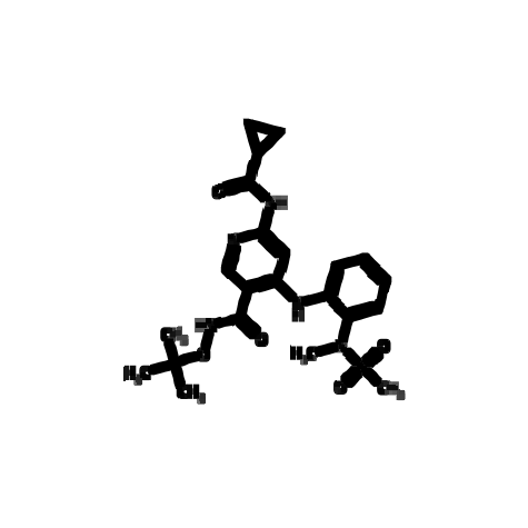 CN(c1ccccc1Nc1cc(NC(=O)C2CC2)ncc1C(=O)NOC(C)(C)C)S(C)(=O)=O